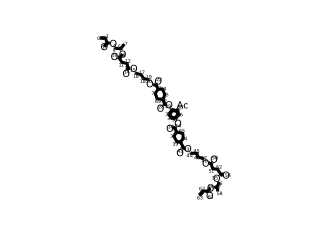 C=CC(=O)OCC(C)OC(=O)CCC(=O)OCCCCOC(=O)C1CCC(C(=O)Oc2ccc(OC(=O)C3CCC(C(=O)OCCCCOC(=O)CCC(=O)OCC(C)OC(=O)C=C)CC3)cc2C(C)=O)CC1